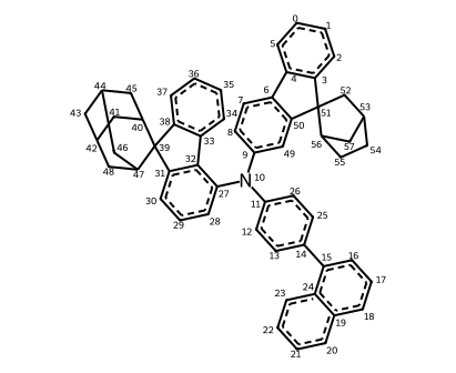 c1ccc2c(c1)-c1ccc(N(c3ccc(-c4cccc5ccccc45)cc3)c3cccc4c3-c3ccccc3C43C4CC5CC(C4)CC3C5)cc1C21CC2CCC1C2